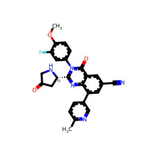 COc1ccc(-n2c([C@@H]3CC(=O)CN3)nc3c(-c4ccc(C)nc4)cc(C#N)cc3c2=O)cc1F